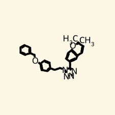 CC1(C)C=Cc2cc(-c3nnnn3CCc3ccc(OCc4ccccc4)cc3)ccc2O1